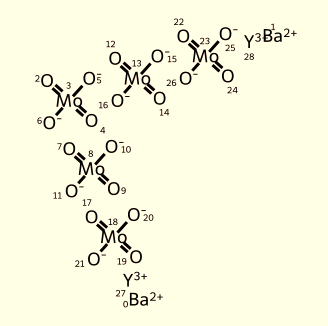 [Ba+2].[Ba+2].[O]=[Mo](=[O])([O-])[O-].[O]=[Mo](=[O])([O-])[O-].[O]=[Mo](=[O])([O-])[O-].[O]=[Mo](=[O])([O-])[O-].[O]=[Mo](=[O])([O-])[O-].[Y+3].[Y+3]